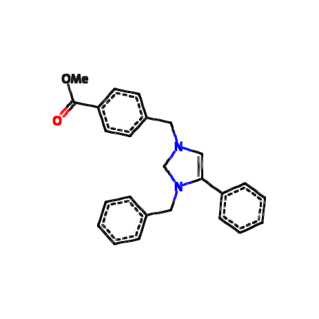 COC(=O)c1ccc(CN2C=C(c3ccccc3)N(Cc3ccccc3)C2)cc1